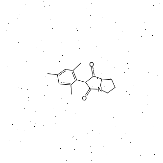 Cc1cc(C)c(C2C(=O)C3CCCN3C2=O)c(C)c1